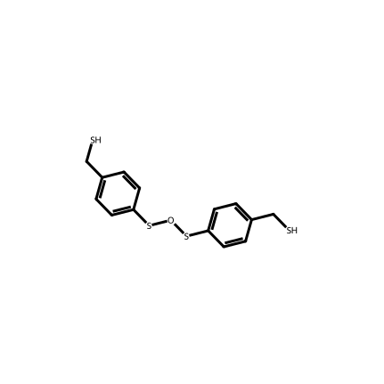 SCc1ccc(SOSc2ccc(CS)cc2)cc1